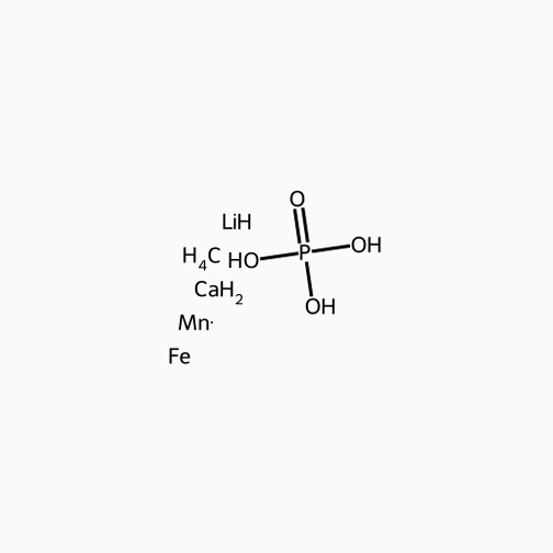 C.O=P(O)(O)O.[CaH2].[Fe].[LiH].[Mn]